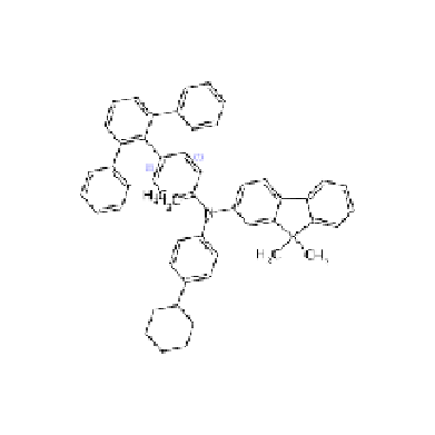 C=C(/C=C\C(=C/C)c1c(-c2ccccc2)cccc1-c1ccccc1)N(c1ccc(C2CCCCC2)cc1)c1ccc2c(c1)C(C)(C)c1ccccc1-2